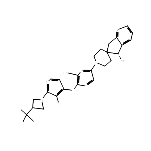 CC(C)(O)C1CN(c2nccc(Sc3ncc(N4CCC5(CC4)Cc4ncccc4[C@H]5N)nc3N)c2Cl)C1